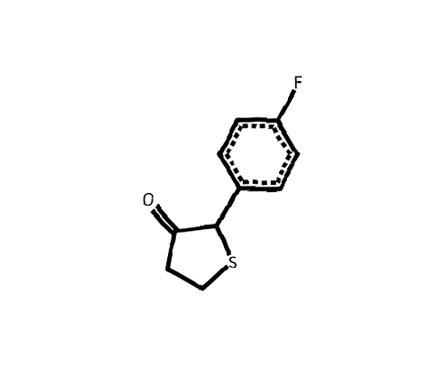 O=C1CCSC1c1ccc(F)cc1